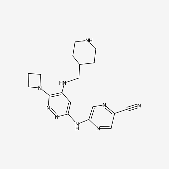 N#Cc1cnc(Nc2cc(NCC3CCNCC3)c(N3CCC3)nn2)cn1